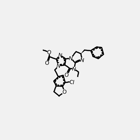 CCN1C(=O)c2c(nc(C(=O)OC)n2Cc2cc(Cl)c3c(c2)CCO3)N2C[C@@H](Cc3ccccc3)N=C12